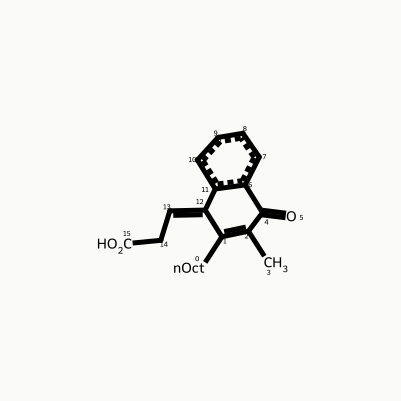 CCCCCCCCC1=C(C)C(=O)c2ccccc2/C1=C/CC(=O)O